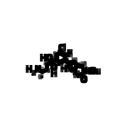 C[C@H](N)CCC(O)(O)c1cc(Cl)c(F)c(-c2cc3cn(C(C)(C)C)c(=O)nc3[nH]2)c1